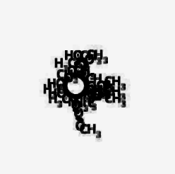 CC[C@H]1OC(=O)[C@H](C)[C@@H](O[C@H]2C[C@@](C)(OC)[C@@H](O)[C@H](C)O2)[C@H](C)[C@@H](O[C@@H]2O[C@H](C)C[C@H](N(C)C)[C@H]2OC(C)=O)[C@](C)(O)C[C@@H](C)/C(=N\OCOCCOC)[C@H](C)[C@@H](O)[C@]1(C)O